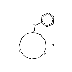 Cl.c1cc[c]([Ti][N]2CCCNCCCNCCC2)cc1